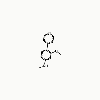 CNc1ccc(-c2ccncc2)c(OC)c1